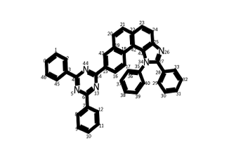 c1ccc(-c2nc(-c3ccccc3)nc(-c3ccc4c(ccc5ccc6nc(-c7ccccc7)n(-c7ccccc7)c6c54)c3)n2)cc1